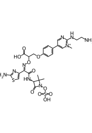 C[n+]1cc(-c2ccc(OCC(O/N=C(\C(=O)N[C@@H]3C(=O)N(OS(=O)(=O)O)C3(C)C)c3csc(N)n3)C(=O)O)cc2)cnc1NCCN